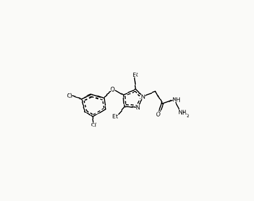 CCc1nn(CC(=O)NN)c(CC)c1Oc1cc(Cl)cc(Cl)c1